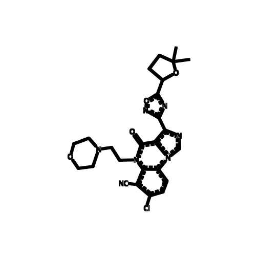 CC1(C)CCC(c2nc(-c3ncn4c3c(=O)n(CCN3CCOCC3)c3c(C#N)c(Cl)ccc34)no2)O1